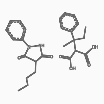 CCC(C)(c1ccccc1)C(C(=O)O)C(=O)O.CCCCC1C(=O)NN(c2ccccc2)C1=O